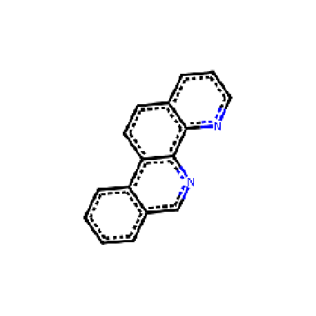 c1ccc2c(c1)cnc1c2ccc2cccnc21